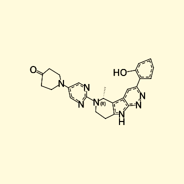 C[C@@H]1c2c([nH]c3nnc(-c4ccccc4O)cc23)CCN1c1ncc(N2CCC(=O)CC2)cn1